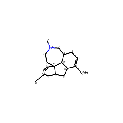 COC1=CCC2CN(C)CCC34C=CC(C)CC3CC1C24